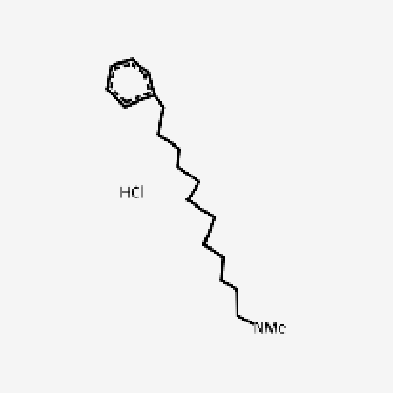 CNCCCCCCCCCCCCc1ccccc1.Cl